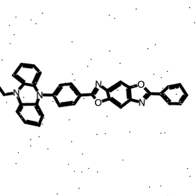 CCN1c2ccccc2N(c2ccc(-c3nc4cc5oc(-c6ccccc6)nc5cc4o3)cc2)c2ccccc21